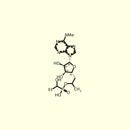 CCC(O)P(=O)(O)OC(C)C[C@H]1O[C@@H](n2cnc3c(NC)ncnc32)[C@H](O)[C@@H]1O